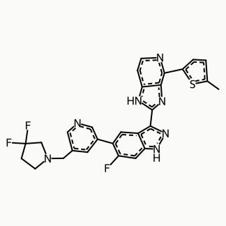 Cc1ccc(-c2nccc3[nH]c(-c4n[nH]c5cc(F)c(-c6cncc(CN7CCC(F)(F)C7)c6)cc45)nc23)s1